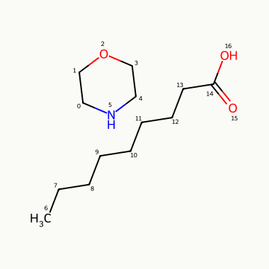 C1COCCN1.CCCCCCCCC(=O)O